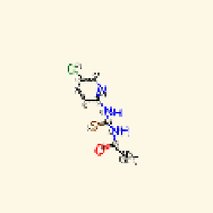 CC(C)C(=O)NC(=S)Nc1ccc(Cl)cn1